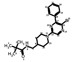 CC(C)(C)C(=O)NCC1CCN(c2cnc(Br)c(-c3ccccc3)n2)CC1